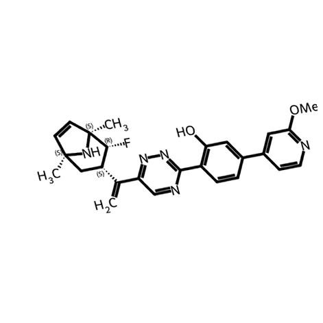 C=C(c1cnc(-c2ccc(-c3ccnc(OC)c3)cc2O)nn1)[C@@H]1C[C@@]2(C)C=C[C@](C)(N2)[C@@H]1F